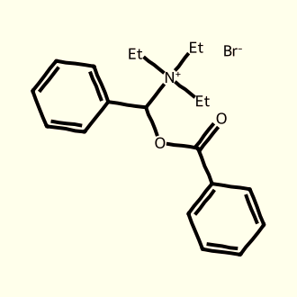 CC[N+](CC)(CC)C(OC(=O)c1ccccc1)c1ccccc1.[Br-]